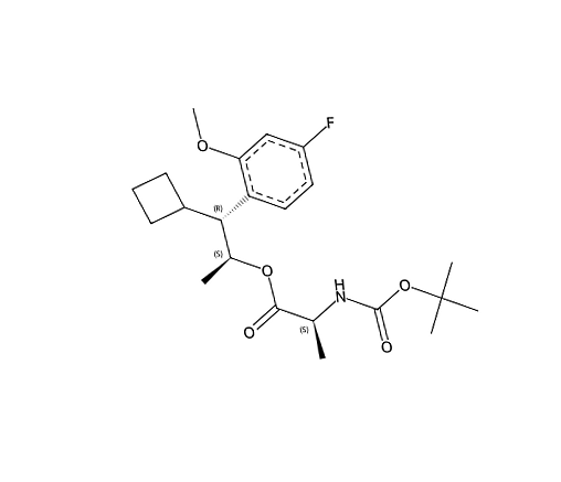 COc1cc(F)ccc1[C@@H](C1CCC1)[C@H](C)OC(=O)[C@H](C)NC(=O)OC(C)(C)C